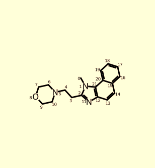 Cn1c(CCN2CCOCC2)nc2ccc3ccccc3c21